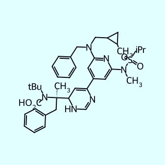 CC1CC1CN(Cc1ccccc1)c1cc(C2=CC([C@@](C)(Cc3ccccc3)N(C(=O)O)C(C)(C)C)NC=N2)cc(N(C)S(=O)(=O)C(C)C)n1